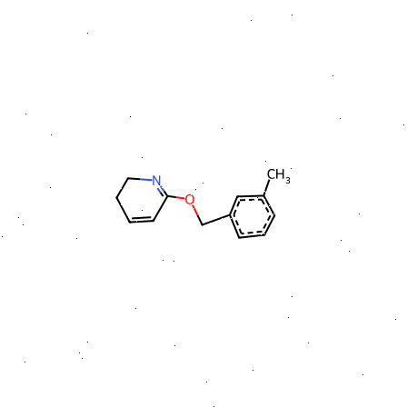 Cc1cccc(COC2=NCCC=C2)c1